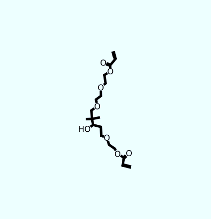 C=CC(=O)OCCOCCOCC(C)(C)C(O)CCOCCOC(=O)C=C